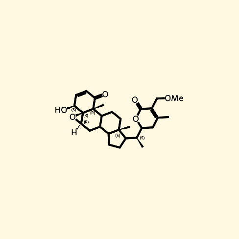 COCC1=C(C)CC([C@@H](C)C2CCC3C4C[C@H]5O[C@]56[C@@H](O)C=CC(=O)[C@]6(C)C4CC[C@@]32C)OC1=O